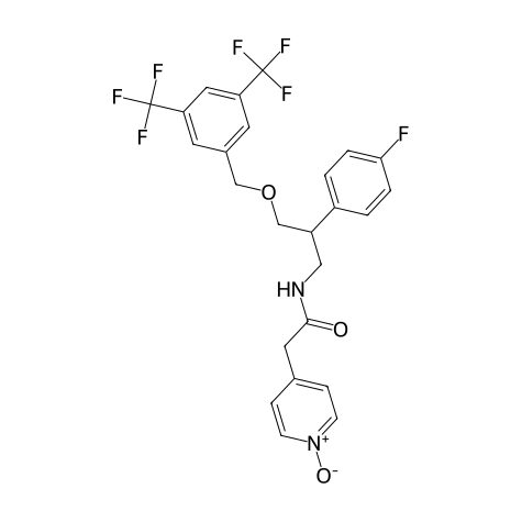 O=C(Cc1cc[n+]([O-])cc1)NCC(COCc1cc(C(F)(F)F)cc(C(F)(F)F)c1)c1ccc(F)cc1